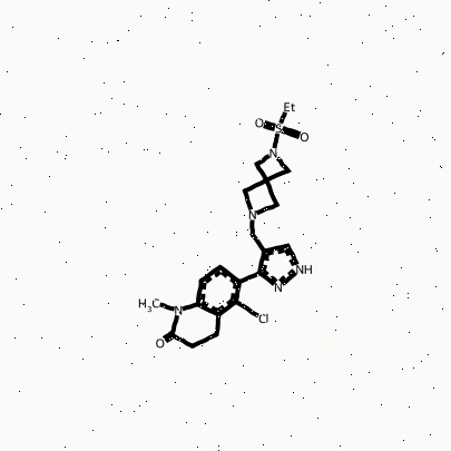 CCS(=O)(=O)N1CC2(CN(Cc3c[nH]nc3-c3ccc4c(c3Cl)CCC(=O)N4C)C2)C1